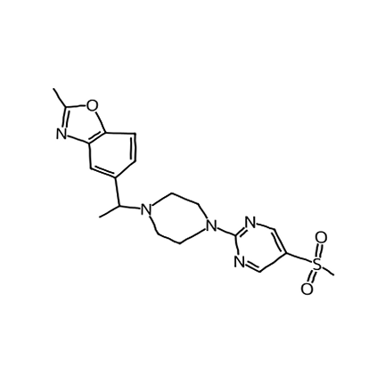 Cc1nc2cc(C(C)N3CCN(c4ncc(S(C)(=O)=O)cn4)CC3)ccc2o1